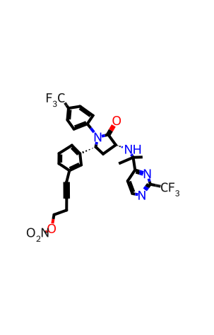 CC(C)(N[C@@H]1C[C@H](c2cccc(C#CCCO[N+](=O)[O-])c2)N(c2ccc(C(F)(F)F)cc2)C1=O)c1ccnc(C(F)(F)F)n1